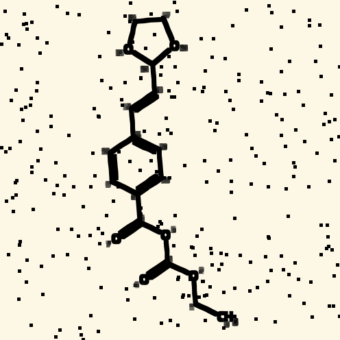 CCOC(=O)OC(=O)c1ccc(/C=C/C2OCCO2)cc1